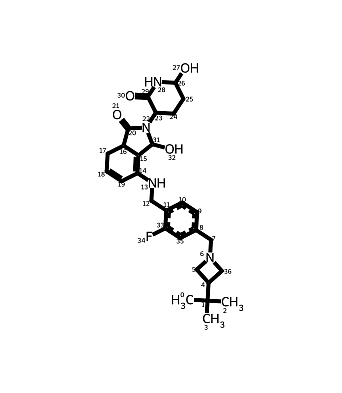 CC(C)(C)C1CN(Cc2ccc(CNC3=C4C(CC=C3)C(=O)N(C3CCC(O)NC3=O)C4O)c(F)c2)C1